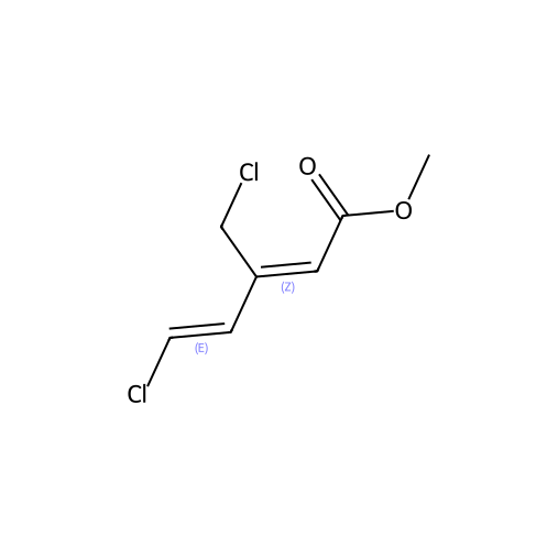 COC(=O)/C=C(/C=C/Cl)CCl